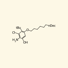 CCCCCCCCCCCCCCCCOc1cc(O)c(N)c(Cl)c1C(C)(C)C